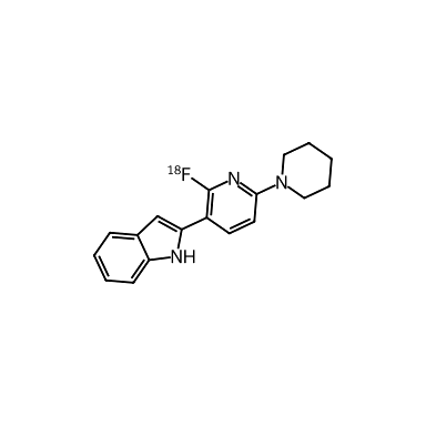 [18F]c1nc(N2CCCCC2)ccc1-c1cc2ccccc2[nH]1